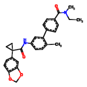 CCN(C)C(=O)c1ccc(-c2cc(NC(=O)C3(c4ccc5c(c4)OCO5)CC3)ccc2C)cc1